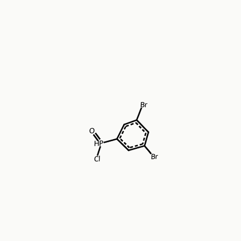 O=[PH](Cl)c1cc(Br)cc(Br)c1